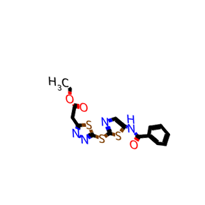 CCOC(=O)Cc1nnc(Sc2ncc(NC(=O)c3ccccc3)s2)s1